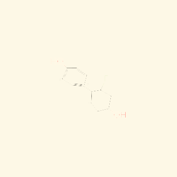 Oc1ccc(C2CCC(O)CC2F)cc1